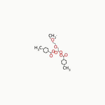 [CH2]COCCOC[C](OOC(=O)c1ccc(C)cc1)OOC(=O)c1ccc(C)cc1